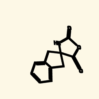 O=C1NC2(Cc3ccccc3C2)C(=O)O1